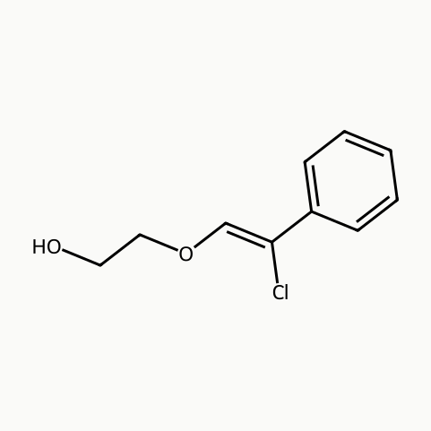 OCCOC=C(Cl)c1ccccc1